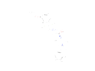 CCCCOc1cccc(C(F)(F)CNCC(=O)N2CCN(Cc3ccccc3)CC2)c1